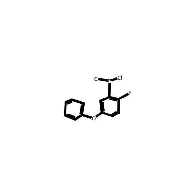 Fc1ccc(Oc2ccccc2)cc1P(Cl)Cl